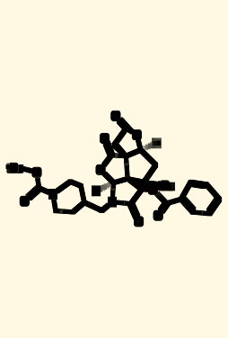 CC(C)(C)OC(=O)N1CCC(CN2C(=O)[C@H](OC(=O)c3ccccc3)[C@@]34[C@@H]2OC(=O)[C@@]32CC(=O)O[C@H]2C[C@@]4(O)C(C)(C)C)CC1